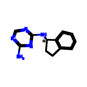 Nc1ncnc(N[C@H]2CCc3ccccc32)n1